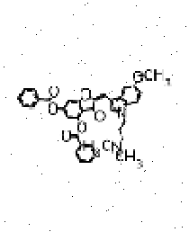 COc1ccc2c(c1)c(C=C1Oc3cc(OC(=O)c4ccccc4)cc(OC(=O)c4ccccc4)c3C1=O)cn2CCCN(C)C